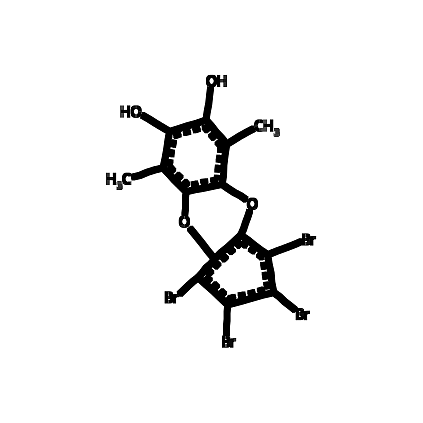 Cc1c(O)c(O)c(C)c2c1Oc1c(Br)c(Br)c(Br)c(Br)c1O2